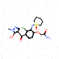 Cn1ncc(C(=O)c2ccc(OCC(N)=O)c(N=S3(=O)CCCCC3)c2Cl)c1O